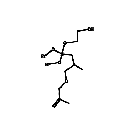 C=C(C)COCC(C)C[Si](OCC)(OCC)OCCO